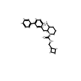 NC1CCCN(C(=O)OCC2CCC2)C1Cc1cccc(-c2ccccc2)c1